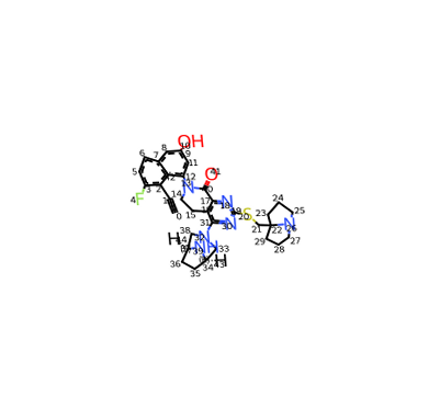 C#Cc1c(F)ccc2cc(O)cc(N3CCc4c(nc(SCC56CCCN5CCC6)nc4N4C[C@H]5CC[C@@H](C4)N5)C3=O)c12